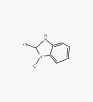 [O-][S+]1c2ccccc2NC1Cl